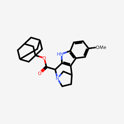 COc1ccc2[nH]c3c(c2c1)C1CCN(C1)C3C(=O)OC12CC3CC(CC(C3)C1)C2